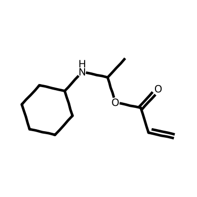 C=CC(=O)OC(C)NC1CCCCC1